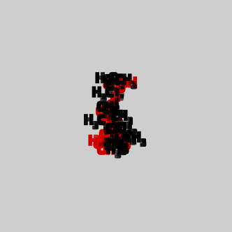 COC1[C@@H](C)[C@@](C)(O)O[C@H]([C@@H]2CC[C@H]([C@@H]3CC[C@H]([C@@]4(C)OC5(O[C@H](C[C@@H]6O[C@](O)([C@@H](C)C(=O)O)[C@@H](C)C(OC)[C@@]6(C)O[C@H]6CC[C@H](OC)[C@@H](C)O6)C[C@@H](OC)[C@H]5C)[C@H](C)[C@H]4OC)O3)O2)[C@H]1C